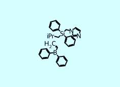 C=CB(c1ccccc1)c1ccccc1.CC(C)C[Si](Cn1ccnc1)(c1ccccc1)c1ccccc1